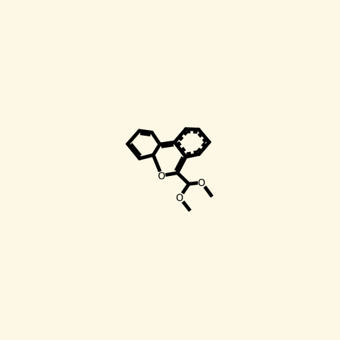 COC(OC)C1=c2ccccc2=C2C=CC=CC2O1